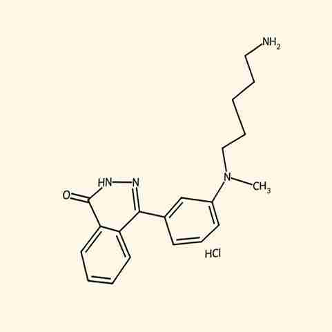 CN(CCCCCN)c1cccc(-c2n[nH]c(=O)c3ccccc23)c1.Cl